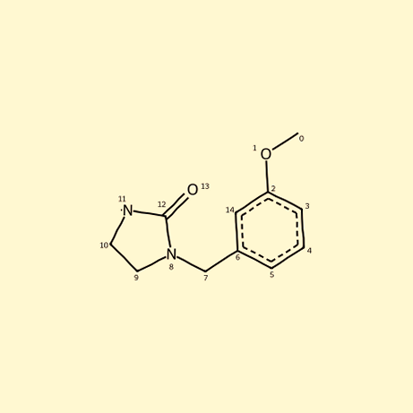 COc1cccc(CN2CC[N]C2=O)c1